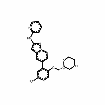 Cc1cc(-c2ccn3nc(Nc4ccccn4)cc3c2)c(OC[C@H]2CNCCO2)cn1